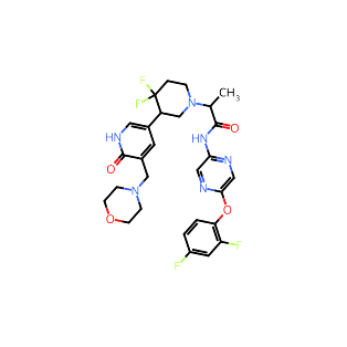 CC(C(=O)Nc1cnc(Oc2ccc(F)cc2F)cn1)N1CCC(F)(F)C(c2c[nH]c(=O)c(CN3CCOCC3)c2)C1